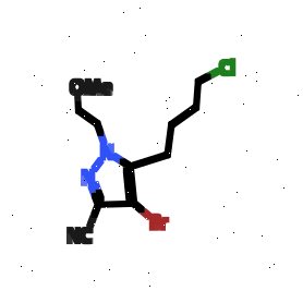 COCCn1nc(C#N)c(Br)c1CCCCCl